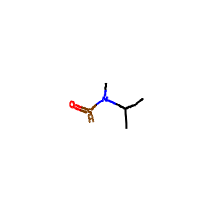 CC(C)N(C)[SH]=O